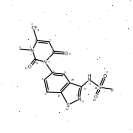 Cn1c(C(F)(F)F)cc(=O)n(-c2ccc3snc(NS(C)(=O)=O)c3c2)c1=O